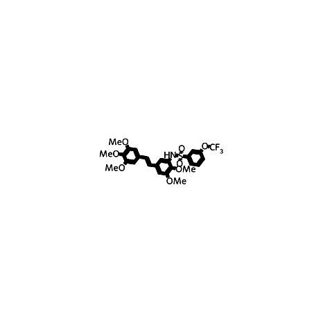 COc1cc(C=Cc2cc(OC)c(OC)c(OC)c2)cc(NS(=O)(=O)c2cccc(OC(F)(F)F)c2)c1OC